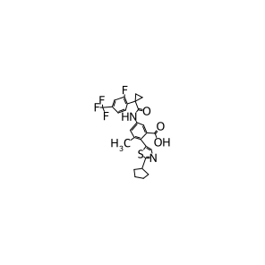 Cc1cc(NC(=O)C2(c3ccc(C(F)(F)F)cc3F)CC2)cc(C(=O)O)c1-c1cnc(C2CCCC2)s1